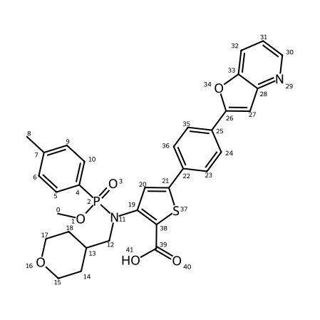 COP(=O)(c1ccc(C)cc1)N(CC1CCOCC1)c1cc(-c2ccc(-c3cc4ncccc4o3)cc2)sc1C(=O)O